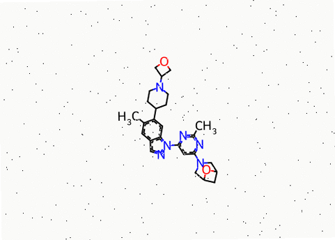 Cc1nc(N2CC3CC(C2)O3)cc(-n2ncc3cc(C)c(C4CCN(C5COC5)CC4)cc32)n1